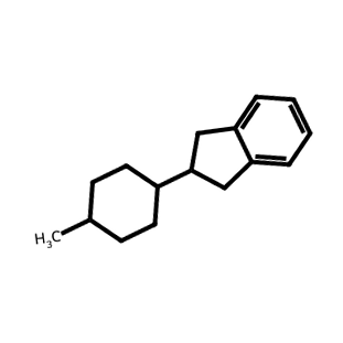 CC1CCC(C2Cc3ccccc3C2)CC1